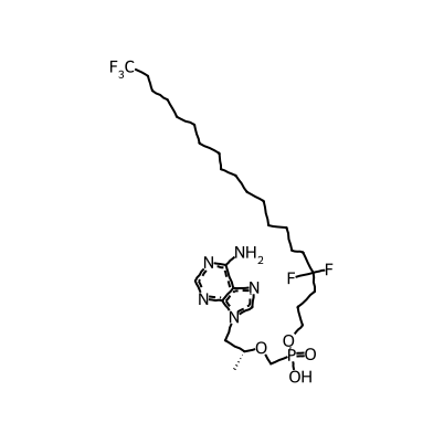 C[C@H](Cn1cnc2c(N)ncnc21)OCP(=O)(O)OCCCC(F)(F)CCCCCCCCCCCCCCCC(F)(F)F